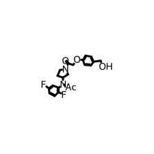 CC(=O)N(c1cc(F)ccc1F)C1CCN(C(=O)COc2ccc(CO)cc2)C1